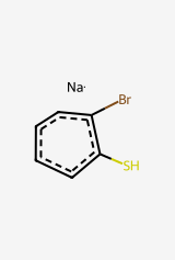 Sc1ccccc1Br.[Na]